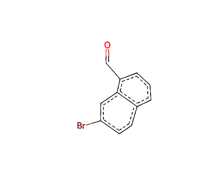 O=Cc1cccc2ccc(Br)cc12